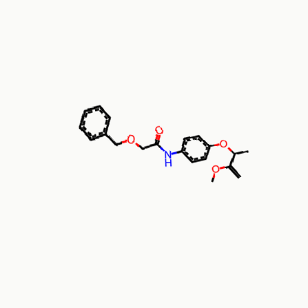 C=C(OC)C(C)Oc1ccc(NC(=O)COCc2ccccc2)cc1